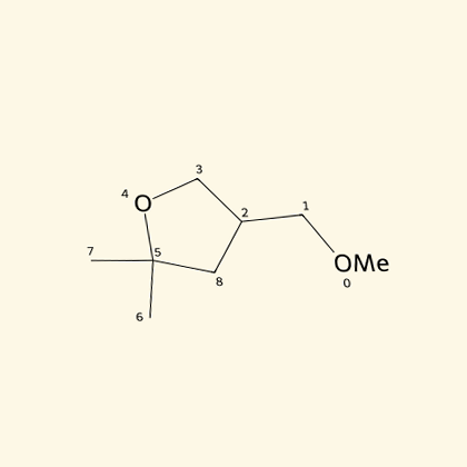 COCC1COC(C)(C)C1